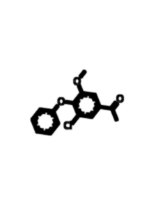 COc1cc(C(C)=O)cc(Cl)c1Oc1ccccc1